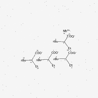 CCCCC(CC)C(=O)[O-].CCCCC(CC)C(=O)[O-].CCCCC(CC)C(=O)[O-].CCCCC(CC)C(=O)[O-].[Nb+4]